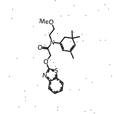 COCCN(C(=O)COc1nc2ccccc2s1)C1=CC(C)=CC(C)(C)C1